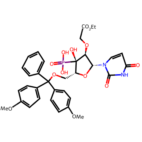 CCOC(=O)CO[C@H]1[C@H](n2ccc(=O)[nH]c2=O)O[C@H](COC(c2ccccc2)(c2ccc(OC)cc2)c2ccc(OC)cc2)[C@]1(O)P(=O)(O)O